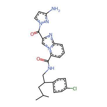 CC(C)CC(CNC(=O)c1cccc2nc(C(=O)n3ccc(N)n3)cn12)c1ccc(Cl)cc1